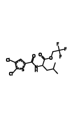 CC(C)CC(NC(=O)c1cc(Cl)c(Cl)s1)C(=O)OCC(F)(F)F